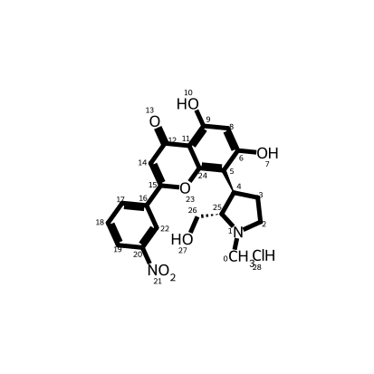 CN1CC[C@H](c2c(O)cc(O)c3c(=O)cc(-c4cccc([N+](=O)[O-])c4)oc23)[C@H]1CO.Cl